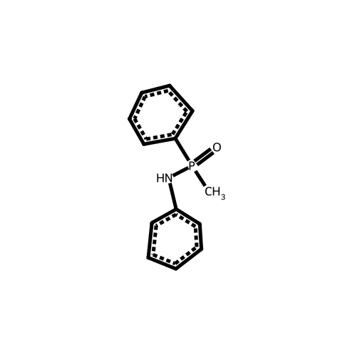 CP(=O)(Nc1ccccc1)c1ccccc1